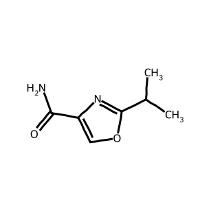 CC(C)c1nc(C(N)=O)co1